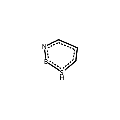 b1nccc[siH]1